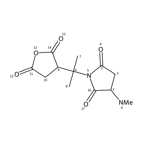 CNC1CC(=O)N(C(C)(C)C2CC(=O)OC2=O)C1=O